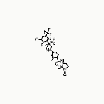 Cc1cc(C2=NO[C@](c3cc(C(F)(F)F)cc(Cl)c3F)(C(F)(F)F)C2)ccc1C(=O)N[C@@H]1CCN(C2CC2)C1=O